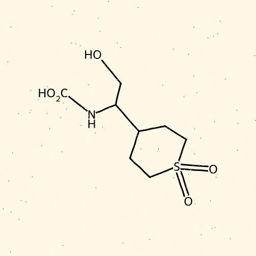 O=C(O)NC(CO)C1CCS(=O)(=O)CC1